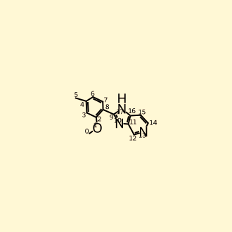 COc1cc(C)ccc1-c1nc2cnccc2[nH]1